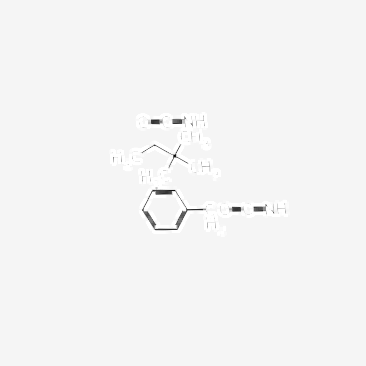 CCC(C)(C)C.Cc1ccccc1.N=C=O.N=C=O